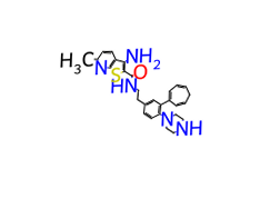 Cc1ccc2c(N)c(C(=O)NCCc3ccc(N4CCNCC4)c(C4=CC=CCC=C4)c3)sc2n1